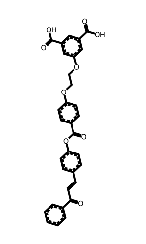 O=C(O)c1cc(OCCOc2ccc(C(=O)Oc3ccc(C=CC(=O)c4ccccc4)cc3)cc2)cc(C(=O)O)c1